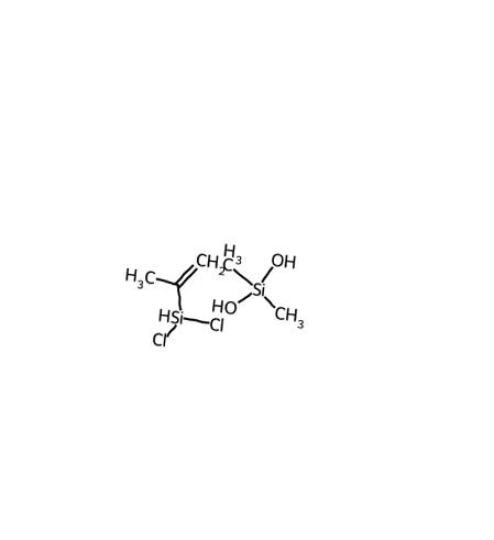 C=C(C)[SiH](Cl)Cl.C[Si](C)(O)O